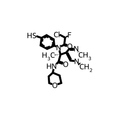 C=N/C=C(\C=N/C)[C@@](C)(C(=O)NC1CCOCC1)N(C(=O)[C@H](F)Cl)c1ccc(S)cc1